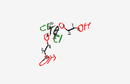 OCCO[Te](Cl)(Cl)OCCO